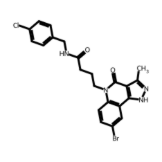 Cc1n[nH]c2c1c(=O)n(CCCC(=O)NCc1ccc(Cl)cc1)c1ccc(Br)cc21